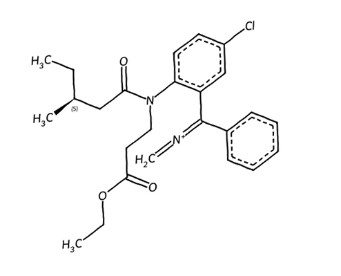 C=[N+]=C(c1ccccc1)c1cc(Cl)ccc1N(CCC(=O)OCC)C(=O)C[C@@H](C)CC